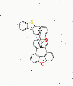 c1ccc2c(c1)oc1cc(-c3cccc4oc5cccc(-c6ccc(-c7ccc8sc9ccccc9c8c7)cc6)c5c34)ccc12